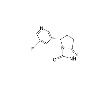 O=c1[nH]nc2n1[C@H](c1cncc(F)c1)CC2